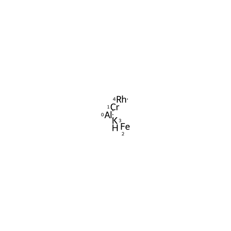 [Al].[Cr].[Fe].[KH].[Rh]